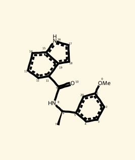 COc1cccc([C@@H](C)NC(=O)c2cccc3[nH]ccc23)c1